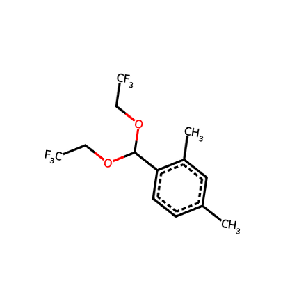 Cc1ccc(C(OCC(F)(F)F)OCC(F)(F)F)c(C)c1